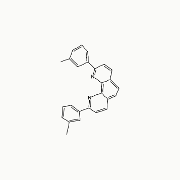 Cc1cccc(-c2ccc3ccc4ccc(-c5cccc(C)c5)nc4c3n2)c1